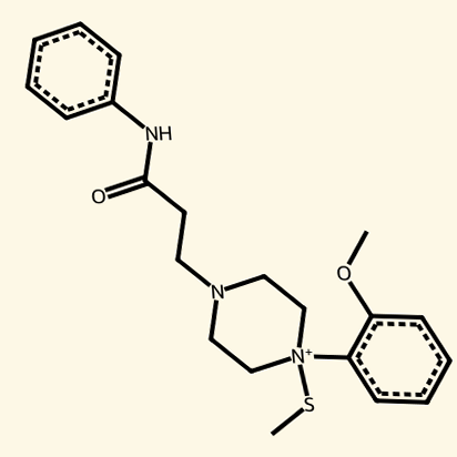 COc1ccccc1[N+]1(SC)CCN(CCC(=O)Nc2ccccc2)CC1